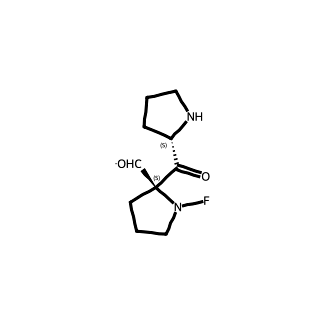 O=[C][C@]1(C(=O)[C@@H]2CCCN2)CCCN1F